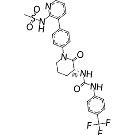 CS(=O)(=O)Nc1ncccc1-c1ccc(N2CCC[C@@H](NC(=O)Nc3ccc(C(F)(F)F)cc3)C2=O)cc1